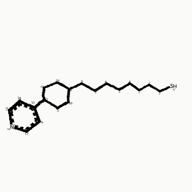 SCCCCCCCCC1CCC(c2ccncc2)CC1